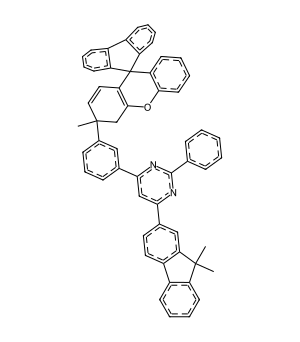 CC1(c2cccc(-c3cc(-c4ccc5c(c4)C(C)(C)c4ccccc4-5)nc(-c4ccccc4)n3)c2)C=CC2=C(C1)Oc1ccccc1C21c2ccccc2-c2ccccc21